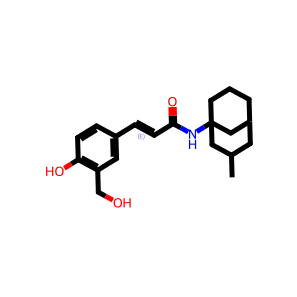 CC1CC2CCCC(NC(=O)/C=C/c3ccc(O)c(CO)c3)(C1)C2